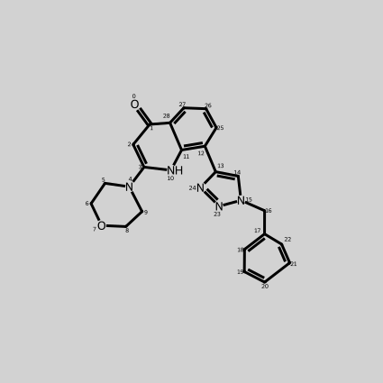 O=c1cc(N2CCOCC2)[nH]c2c(-c3cn(Cc4ccccc4)nn3)cccc12